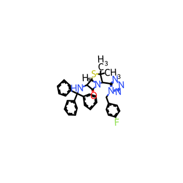 CC1(C)S[C@@H]2C(NC(c3ccccc3)(c3ccccc3)c3ccccc3)C(=O)N2C1c1nnnn1Cc1ccc(F)cc1